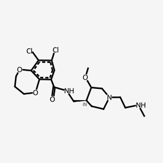 CNCCN1CC[C@@H](CNC(=O)c2cc(Cl)c(Cl)c3c2OCCCO3)C(OC)C1